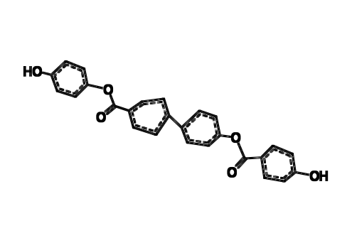 O=C(Oc1ccc(-c2ccc(C(=O)Oc3ccc(O)cc3)cc2)cc1)c1ccc(O)cc1